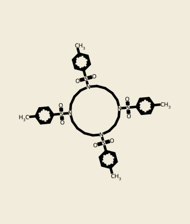 Cc1ccc(S(=O)(=O)N2CCCCN(S(=O)(=O)c3ccc(C)cc3)CCCN(S(=O)(=O)c3ccc(C)cc3)CCCCN(S(=O)(=O)c3ccc(C)cc3)CCC2)cc1